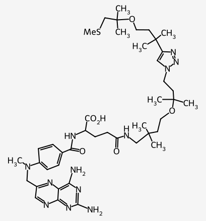 CSCC(C)(C)OCCC(C)(C)c1cn(CCC(C)(C)OCCC(C)(C)CNC(=O)CCC(NC(=O)c2ccc(N(C)Cc3cnc4nc(N)nc(N)c4n3)cc2)C(=O)O)nn1